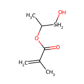 C=C(C)C(=O)OC(C)[SiH2]O